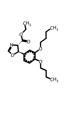 CCCCOc1ccc([C@H]2OC=N[C@@H]2C(=O)OCC)cc1OCCCC